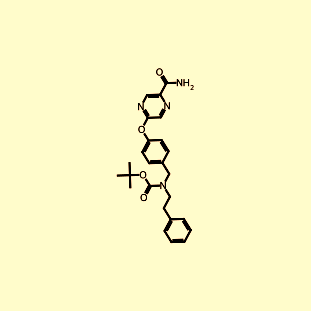 CC(C)(C)OC(=O)N(CCc1ccccc1)Cc1ccc(Oc2cnc(C(N)=O)cn2)cc1